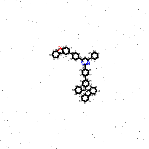 c1ccc(-c2cc(-c3ccc(-c4ccc5oc6ccccc6c5c4)cc3)nc(-c3ccc(-c4ccc([Si]5(c6ccccc6)c6ccccc6-c6ccccc65)cc4)cc3)n2)cc1